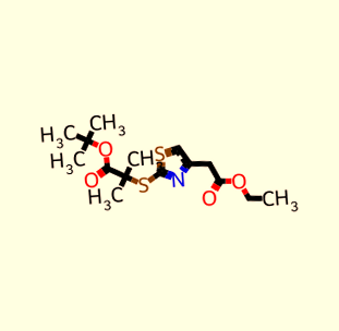 CCOC(=O)Cc1csc(SC(C)(C)C(=O)OC(C)(C)C)n1